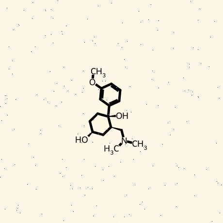 COc1cccc([C@@]2(O)CC[C@H](O)C[C@@H]2CN(C)C)c1